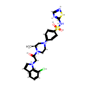 C[C@H]1CN(c2ccc(S(=O)(=O)Nc3ncns3)cc2)CCN1C(=O)Cn1ccc2cccc(Cl)c21